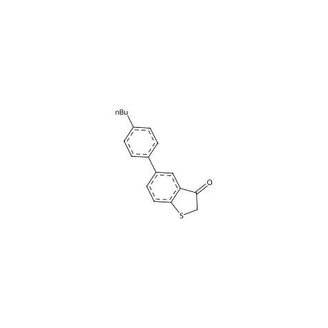 CCCCc1ccc(-c2ccc3c(c2)C(=O)CS3)cc1